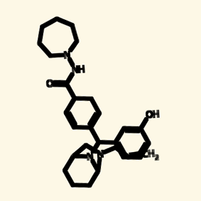 C=CCN1CC2CCCC1N2C(C1=CCC(C(=O)NN2CCCCCC2)C=C1)c1cccc(O)c1